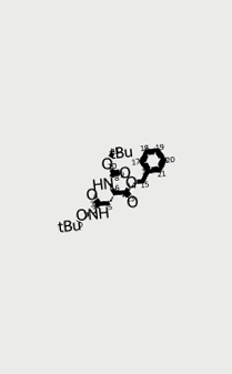 CC(C)(C)ONC(=O)C[C@H](NC(=O)OC(C)(C)C)C(=O)OCc1ccccc1